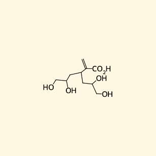 C=C(C(=O)O)C(CC(O)CO)CC(O)CO